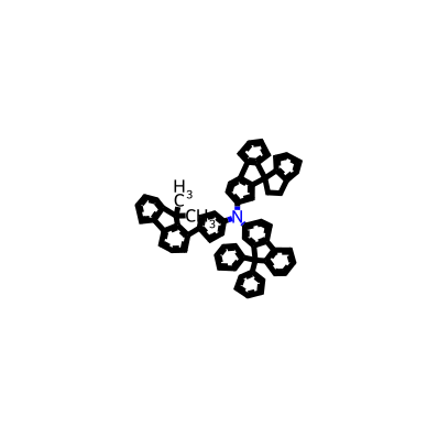 CC1(C)c2ccccc2-c2cccc(-c3ccc(N(c4ccc5c(c4)C4(CCc6ccccc64)c4ccccc4-5)c4ccc5c(c4)C(c4ccccc4)(c4ccccc4)c4ccccc4-5)cc3)c21